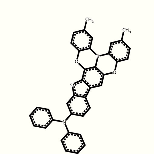 Cc1ccc2c(c1)B1c3cc(C)ccc3Oc3c1c(cc1c3oc3cc(N(c4ccccc4)c4ccccc4)ccc31)O2